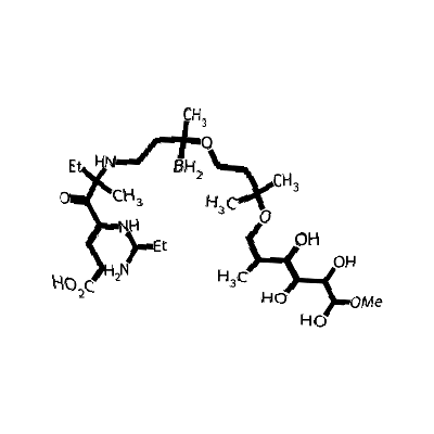 BC(C)(CCNC(C)(CC)C(=O)C(CCC(=O)O)NC(N)CC)OCCC(C)(C)OCC(C)C(O)C(O)C(O)C(O)OC